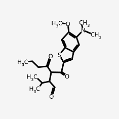 CCCC(=O)C(C(=O)c1cc2cc(N(C)C)c(OC)cc2s1)C(C=O)C(C)C